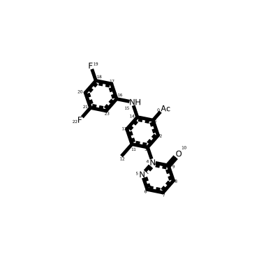 CC(=O)c1cc(-n2ncccc2=O)c(C)cc1Nc1cc(F)cc(F)c1